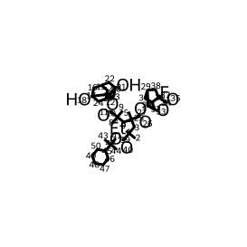 CCC(C)(CC(C)(CC(C)(C)C(=O)OC12CC3CC(O)(CC(O)(C3)C1)C2)C(=O)OC1C2CC3C1OC(=O)C3(F)C2)C(=O)OC(C)(C)C1CCCCC1